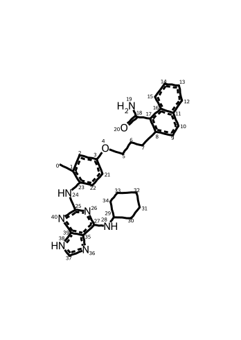 Cc1cc(OCCCc2ccc3ccccc3c2C(N)=O)ccc1Nc1nc(NC2CCCCC2)c2nc[nH]c2n1